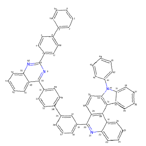 c1ccc(-c2ccc(-c3nc(-c4ccc(-c5cccc(-c6nc7ccccc7c7c6ccc6c7c7ccccc7n6-c6ccccc6)c5)cc4)c4ccccc4n3)cc2)cc1